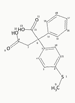 CSc1ccc(C(CC(=O)O)(C(=O)O)c2ccccc2)cc1